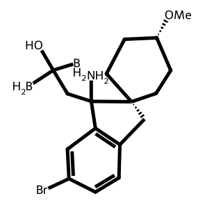 BC(B)(O)CC1(N)c2cc(Br)ccc2C[C@]12CC[C@@H](OC)CC2